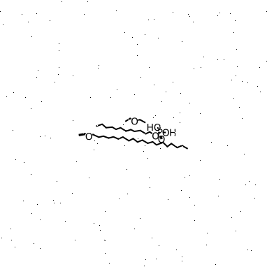 C=COCCCCCCCCCCCCCCCCCCCC.CCCCCCCCCCCCOP(=O)(O)O.CCOCC